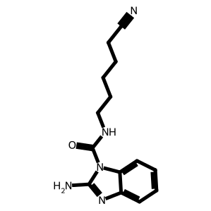 N#CCCCCCNC(=O)n1c(N)nc2ccccc21